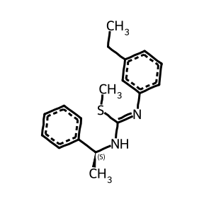 CCc1cccc(N=C(N[C@@H](C)c2ccccc2)SC)c1